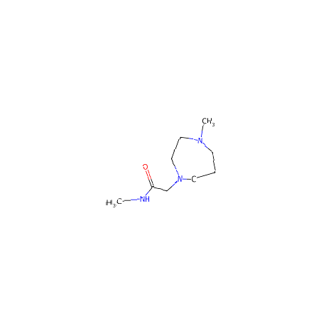 CNC(=O)CN1CCCN(C)CC1